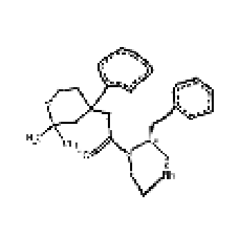 CC1(C)CC(CC(=O)N2CCNC[C@H]2Cc2ccccc2)(c2ccccc2)CCO1